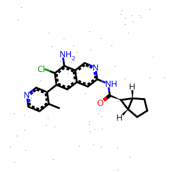 Cc1ccncc1-c1cc2cc(NC(=O)[C@H]3[C@@H]4CCC[C@@H]43)ncc2c(N)c1Cl